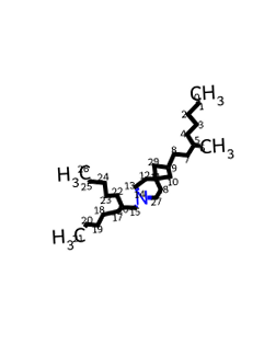 CCCCCC(C)CCC1CC2(CCN(CC(CCCCC)CCCCC)CC2)C1